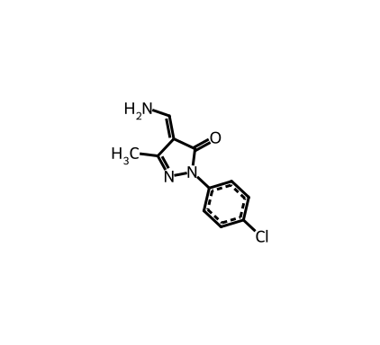 CC1=NN(c2ccc(Cl)cc2)C(=O)/C1=C/N